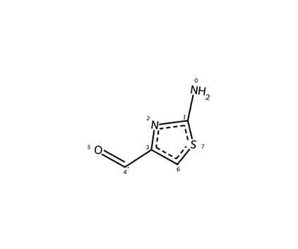 Nc1nc([C]=O)cs1